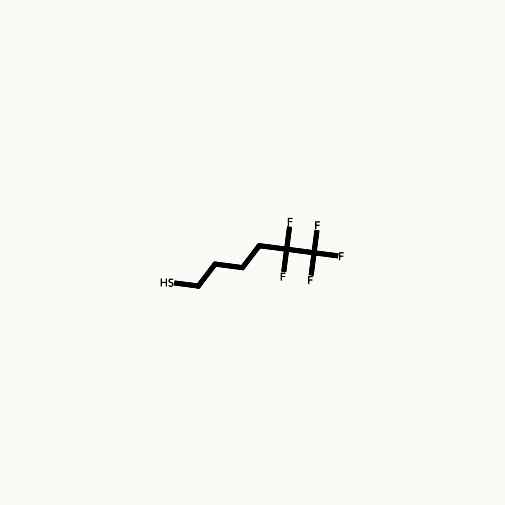 FC(F)(F)C(F)(F)CCCCS